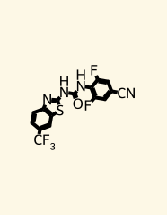 N#Cc1cc(F)c(NC(=O)Nc2nc3ccc(C(F)(F)F)cc3s2)c(F)c1